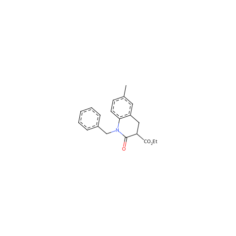 CCOC(=O)C1Cc2cc(C)ccc2N(Cc2ccccc2)C1=O